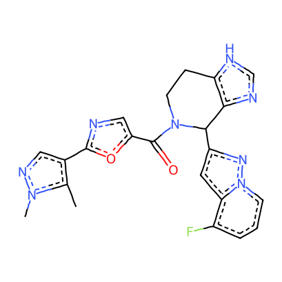 Cc1c(-c2ncc(C(=O)N3CCc4[nH]cnc4C3c3cc4c(F)cccn4n3)o2)cnn1C